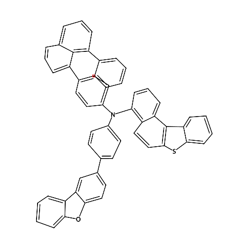 c1ccc(-c2cccc3cccc(-c4ccc(N(c5ccc(-c6ccc7oc8ccccc8c7c6)cc5)c5cccc6c5ccc5sc7ccccc7c56)cc4)c23)cc1